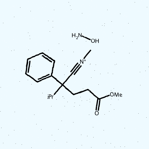 C[N+]#CC(CCC(=O)OC)(c1ccccc1)C(C)C.NO